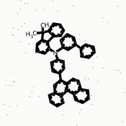 CC1(C)c2ccccc2-c2c(N(c3ccc(-c4cc5ccccc5c5c4ccc4ccccc45)cc3)c3cccc(-c4ccccc4)c3)cccc21